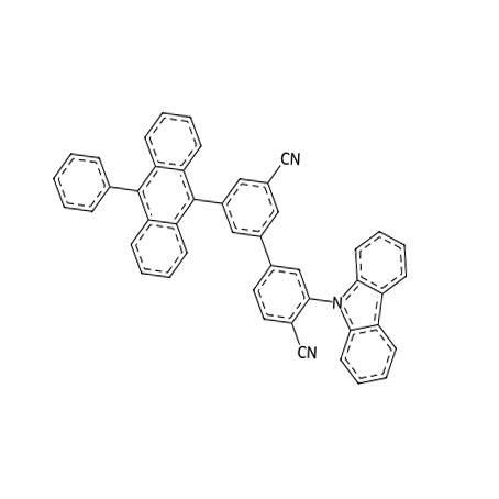 N#Cc1cc(-c2ccc(C#N)c(-n3c4ccccc4c4ccccc43)c2)cc(-c2c3ccccc3c(-c3ccccc3)c3ccccc23)c1